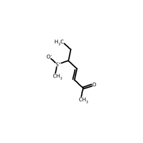 CCC(C=CC(C)=O)[S+](C)[O-]